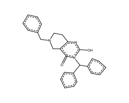 O=c1c2c(nc(O)n1C(c1ccccc1)c1ccccc1)CCN(Cc1ccccc1)C2